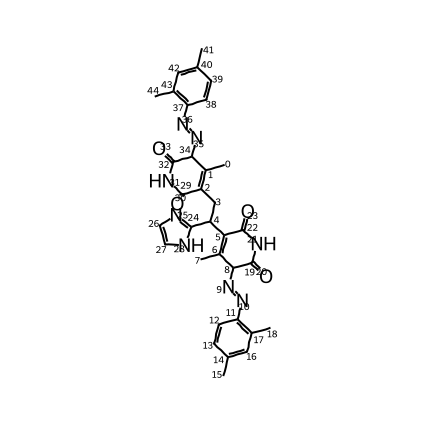 CC1=C(CC(C2=C(C)C(N=Nc3ccc(C)cc3C)C(=O)NC2=O)c2ncc[nH]2)C(=O)NC(=O)C1N=Nc1ccc(C)cc1C